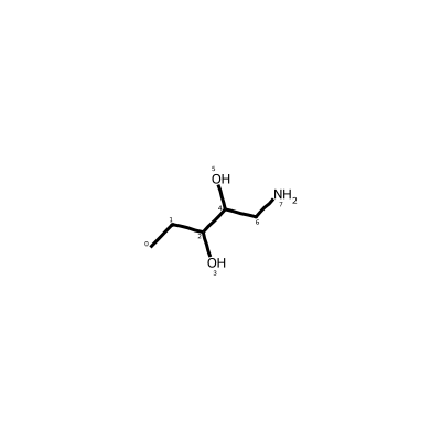 CCC(O)C(O)CN